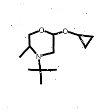 CC1COC(OC2CC2)CN1C(C)(C)C